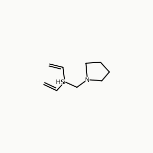 C=C[SiH](C=C)CN1CCCC1